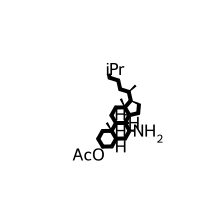 CC(=O)O[C@H]1CC[C@@]2(C)[C@H](C1)C[C@H](N)[C@@H]1[C@@H]2CC[C@]2(C)[C@@H]([C@H](C)CCCC(C)C)CC[C@@H]12